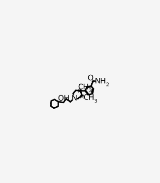 C[C@H]1CN(CCCC2(O)CCCCC2)CC[C@]1(C)c1cccc(C(N)=O)c1